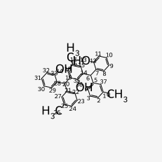 Cc1cccc(C(c2ccccc2O)c2cc(C)cc(C(c3cccc(C)c3)c3ccccc3O)c2O)c1